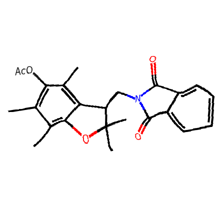 CC(=O)Oc1c(C)c(C)c2c(c1C)C(CN1C(=O)c3ccccc3C1=O)C(C)(C)O2